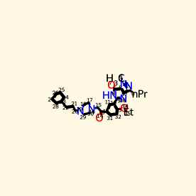 CCCc1nn(C)c2c(=O)[nH]c(-c3cc(C(=O)CN4CCN(C/C=C/c5ccccc5)CC4)ccc3OCC)nc12